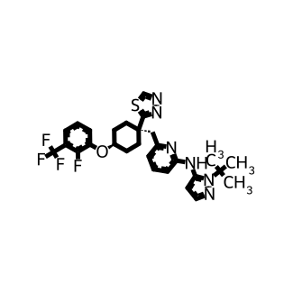 CC(C)(C)n1nccc1Nc1cccc(C[C@]2(c3nncs3)CC[C@@H](Oc3cccc(C(F)(F)F)c3F)CC2)n1